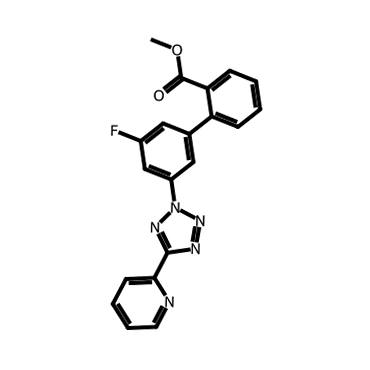 COC(=O)c1ccccc1-c1cc(F)cc(-n2nnc(-c3ccccn3)n2)c1